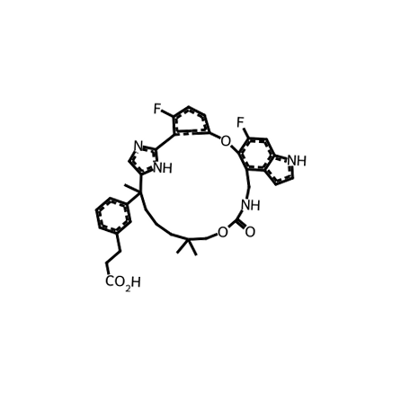 CC1(C)CCCC(C)(c2cccc(CCC(=O)O)c2)c2cnc([nH]2)-c2cc(ccc2F)Oc2c(F)cc3[nH]ccc3c2CNC(=O)OC1